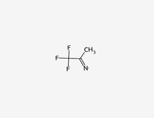 CC(=[N])C(F)(F)F